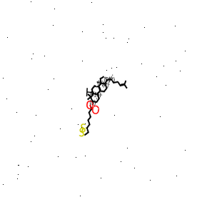 CC(C)=CCC[C@@H](C)[C@H]1CC[C@@]2(C)C3=C(CC[C@]12C)[C@@]1(C)CC[C@H](OC(=O)CCCCC2CCSS2)C(C)(C)[C@@H]1CC3